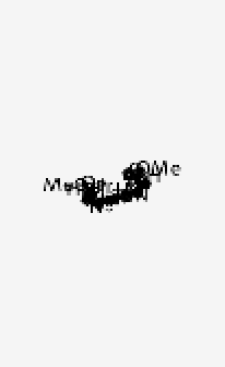 COC(=O)NC(C(=O)N1CCCC1c1ncc(-c2ccc(-c3cc4sc(-c5cnc(C6CCCN6C(=O)C(NC(=O)OC)C(C)C)[nH]5)cc4s3)cc2)[nH]1)c1ccccc1